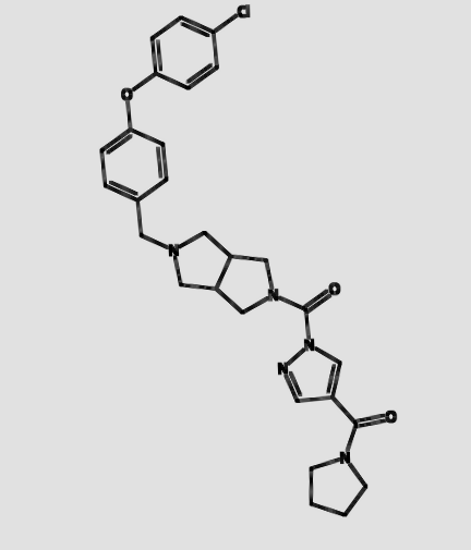 O=C(c1cnn(C(=O)N2CC3CN(Cc4ccc(Oc5ccc(Cl)cc5)cc4)CC3C2)c1)N1CCCC1